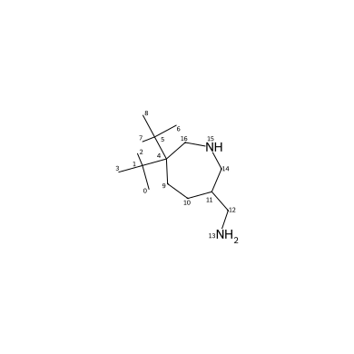 CC(C)(C)C1(C(C)(C)C)CCC(CN)CNC1